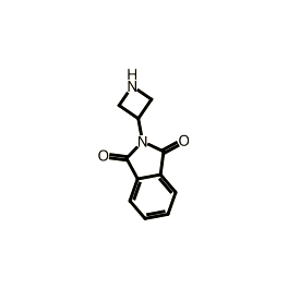 O=C1c2ccccc2C(=O)N1C1CNC1